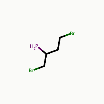 PC(CBr)CCBr